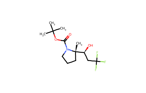 CC(C)(C)OC(=O)N1CCC[C@@]1(C)[C@@H](O)CC(F)(F)F